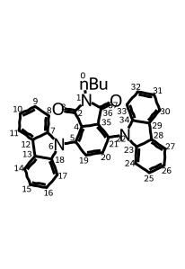 CCCCN1C(=O)c2c(-n3c4ccccc4c4ccccc43)ccc(-n3c4ccccc4c4ccccc43)c2C1=O